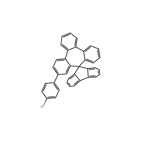 Clc1ccc(-c2ccc3c(c2)C2(c4ccccc4-c4ccccc4-3)c3ccccc3-c3ccccc32)cc1